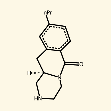 CCCc1ccc2c(c1)C[C@@H]1CNCCN1C2=O